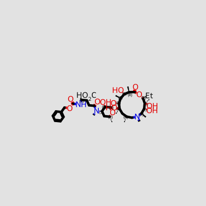 CC[C@H]1OC(=O)[C@H](C)[C@@H](O)[C@H](C)[C@@H](O[C@@H]2O[C@H](C)C[C@H](N(C)C(=O)CC[C@@H](NC(=O)OCc3ccccc3)C(=O)O)[C@H]2O)[C@](C)(O)C[C@@H](C)CN(C)[C@H](C)[C@@H](O)[C@]1(C)O